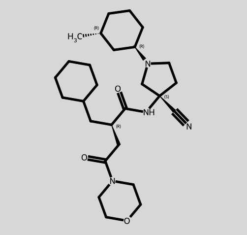 C[C@@H]1CCC[C@@H](N2CC[C@](C#N)(NC(=O)[C@@H](CC(=O)N3CCOCC3)CC3CCCCC3)C2)C1